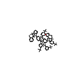 CC(C)(C)c1ccc(N2c3cc(N4c5ccccc5C5(C)CCc6ccccc6C45C)ccc3B3c4ccc(C(C)(C)C)cc4N(c4cccc(C(C)(C)C)c4)c4cc(N5c6ccc(C(C)(C)C)cc6C6(C)CCc7ccccc7C56C)cc2c43)cc1